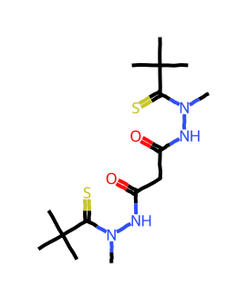 CN(NC(=O)CC(=O)NN(C)C(=S)C(C)(C)C)C(=S)C(C)(C)C